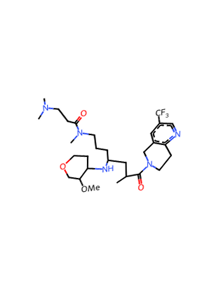 COC1COCCC1NC(CCCN(C)C(=O)CCN(C)C)CC(C)C(=O)N1CCc2ncc(C(F)(F)F)cc2C1